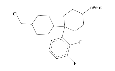 CCCCCC1CCC(c2cccc(F)c2F)(C2CCC(CCl)CC2)CC1